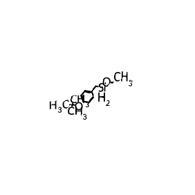 CCO[SiH2]Cc1ccc(OC(C)(C)C)cc1